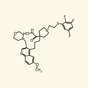 COc1ccc2ncc(CN3CCOCC3)c(CCCC3(C(=O)NO)CCN(CCSc4cc(F)cc(F)c4F)CC3)c2c1